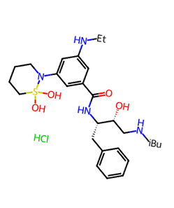 CCNc1cc(C(=O)N[C@@H](Cc2ccccc2)[C@H](O)CNC(C)CC)cc(N2CCCCS2(O)O)c1.Cl